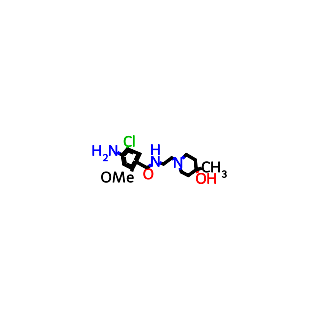 COc1cc(N)c(Cl)cc1C(=O)NCCN1CCC(C)(O)CC1